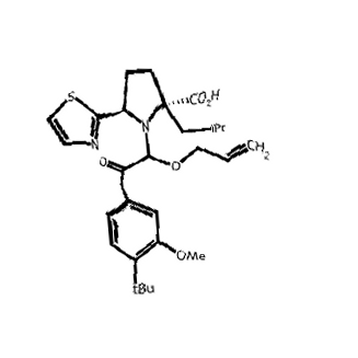 C=CCOC(C(=O)c1ccc(C(C)(C)C)c(OC)c1)N1[C@@H](c2nccs2)CC[C@]1(CC(C)C)C(=O)O